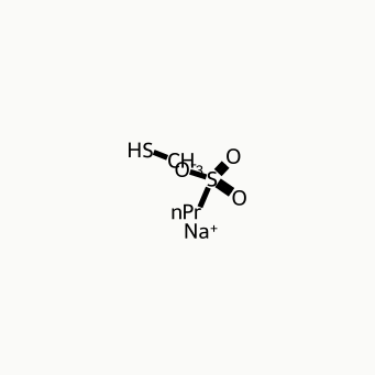 CCCS(=O)(=O)[O-].CS.[Na+]